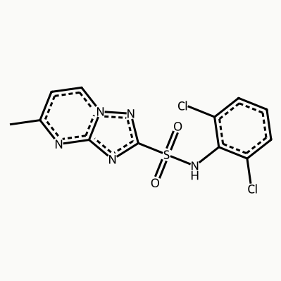 Cc1ccn2nc(S(=O)(=O)Nc3c(Cl)cccc3Cl)nc2n1